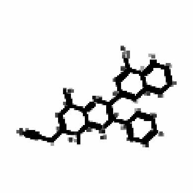 N#CCc1cc(=O)c2nc(-c3cc(Cl)c4ncccc4c3)c(-c3ccccc3)nc2[nH]1